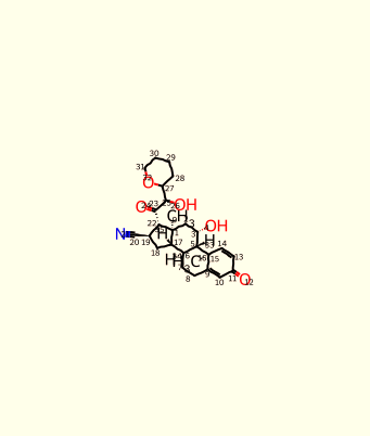 C[C@]12C[C@H](O)[C@H]3[C@@H](CCC4=CC(=O)C=C[C@@]43C)[C@@H]1C[C@@H](C#N)[C@@H]2C(=O)C(O)C1CCCCO1